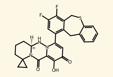 O=C1c2c(O)c(=O)cc(-c3cc(F)c(F)c4c3Cc3ccccc3SC4)n2N[C@@H]2CCCC3(CC3)N12